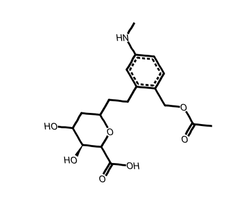 CNc1ccc(COC(C)=O)c(CCC2CC(O)[C@H](O)C(C(=O)O)O2)c1